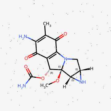 CO[C@@]12[C@H](OC(N)=O)C3=C(C(=O)C(C)=C(N)C3=O)N1C[C@@H]1N[C@@H]12